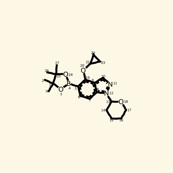 CC1(C)OB(c2ccc3c(cnn3C3CCCCO3)c2OC2CC2)OC1(C)C